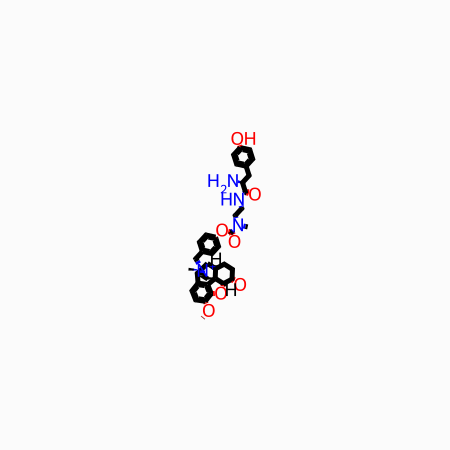 COc1ccc2c3c1O[C@H]1C(=O)CC[C@H]4C(C2)[N@@+](C)(Cc2ccc(OC(=O)N(C)CCNC(=O)[C@@H](N)Cc5ccc(O)cc5)cc2)CC[C@]314